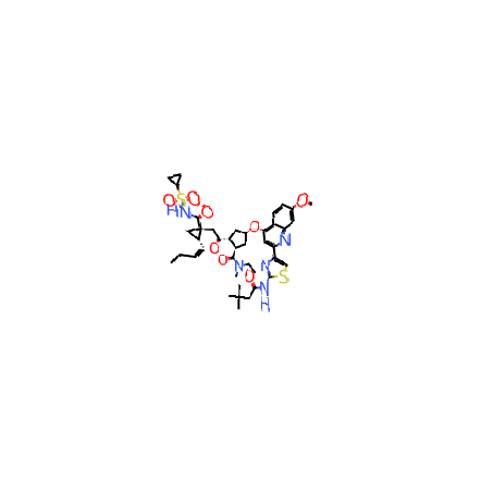 CC/C=C\[C@@H]1C[C@]1(CC(=O)[C@@H]1C[C@@H](Oc2cc(-c3csc(NC(=O)CC(C)(C)C)n3)nc3cc(OC)ccc23)C[C@H]1C(=O)N(C)CC)C(=O)NS(=O)(=O)C1CC1